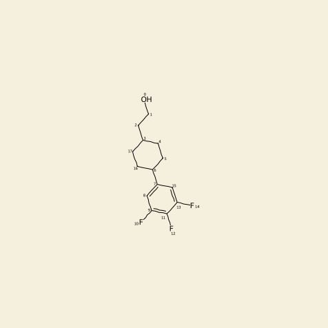 OCCC1CCC(c2cc(F)c(F)c(F)c2)CC1